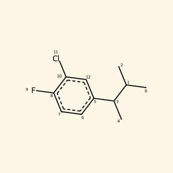 CC(C)C(C)c1ccc(F)c(Cl)c1